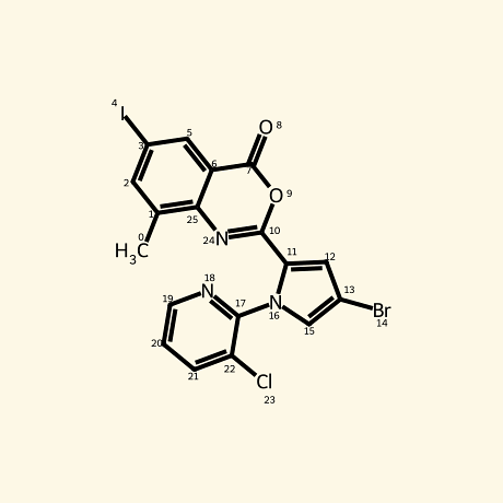 Cc1cc(I)cc2c(=O)oc(-c3cc(Br)cn3-c3ncccc3Cl)nc12